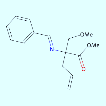 C=CCC(COC)(N=Cc1ccccc1)C(=O)OC